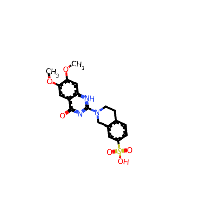 COc1cc2[nH]c(N3CCc4ccc(S(=O)(=O)O)cc4C3)nc(=O)c2cc1OC